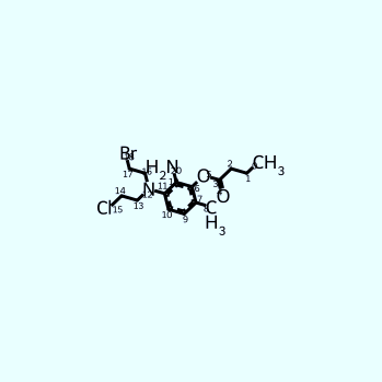 CCCC(=O)Oc1c(C)ccc(N(CCCl)CCBr)c1N